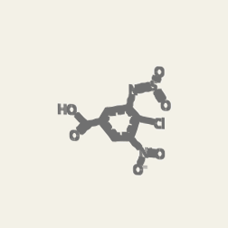 O=C(O)c1cc(N=S(=O)=O)c(Cl)c([N+](=O)[O-])c1